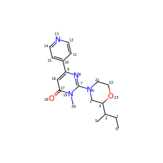 CCC(C)C1CN(c2nc(-c3ccncc3)cc(=O)n2C)CCO1